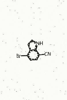 N#Cc1ccc(Br)c2cc[nH]c12